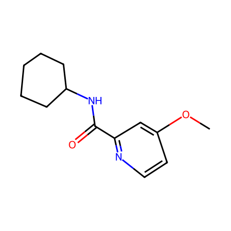 COc1ccnc(C(=O)NC2CCCCC2)c1